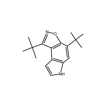 CC(C)(C)c1cc2[nH]ccc2c2c(C(C)(C)C)noc12